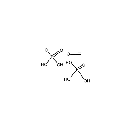 C=O.O=P(O)(O)O.O=P(O)(O)O